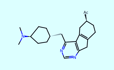 CC(=O)[C@H]1CCC2=C(C1)c1c(ncnc1C[C@H]1CC[C@H](N(C)C)CC1)C2